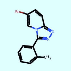 Cc1ccccc1-c1nnc2ccc(Br)cn12